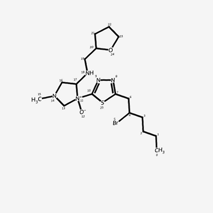 CCCCC(Br)Cc1nnc([N+]2([O-])CN(C)CC2NCC2CCCO2)s1